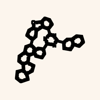 c1ccc(-c2nc(-c3ccc4ccccc4c3)nc(-c3cccc4oc5ccc(-c6ccc7c(ccc8c9ccccc9ccc78)c6)cc5c34)n2)cc1